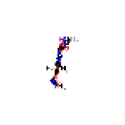 C=C1CCC(N2C(=O)c3ccc(N4CCC5(CC4)CN(c4ccc(C(C)(C)c6ccc(OCc7ccnc(C(C)=O)n7)cc6)cc4)C5)cc3C2=O)C(=O)N1